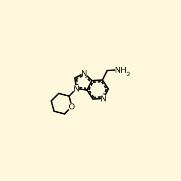 NCc1cncc2c1ncn2C1CCCCO1